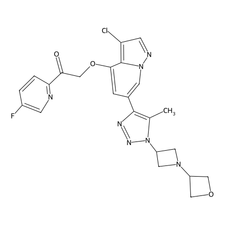 Cc1c(-c2cc(OCC(=O)c3ccc(F)cn3)c3c(Cl)cnn3c2)nnn1C1CN(C2COC2)C1